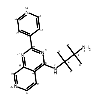 CC(C)(N)C(C)(C)Nc1nc(-c2ccncc2)nc2cnccc12